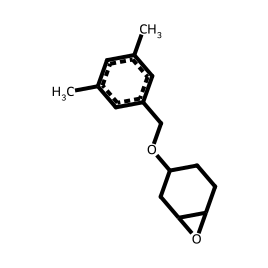 Cc1cc(C)cc(COC2CCC3OC3C2)c1